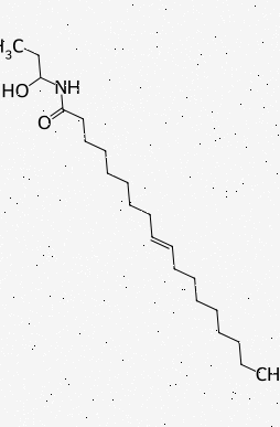 CCCCCCCCC=CCCCCCCCC(=O)NC(O)CC